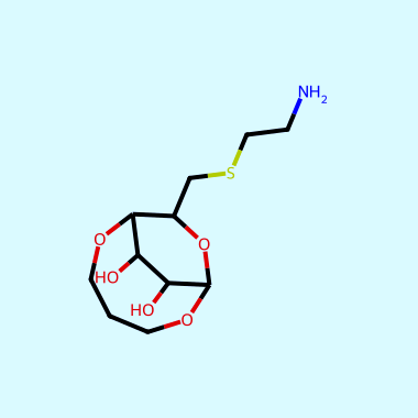 NCCSCC1OC2OCCCOC1C(O)C2O